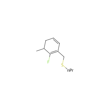 CCCSCC1=C(F)C(C)CC=C1